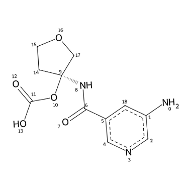 Nc1cncc(C(=O)N[C@]2(OC(=O)O)CCOC2)c1